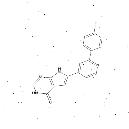 O=c1[nH]cnc2[nH]c(-c3ccnc(-c4ccc(F)cc4)c3)cc12